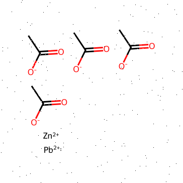 CC(=O)[O-].CC(=O)[O-].CC(=O)[O-].CC(=O)[O-].[Pb+2].[Zn+2]